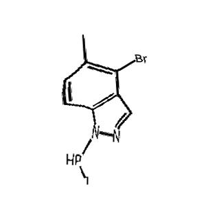 Cc1ccc2c(cnn2PI)c1Br